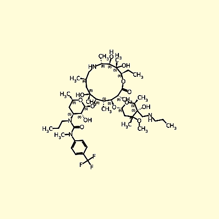 CCCNC[C@]1(O)[C@H](C)O[C@@H](O[C@H]2[C@H](C)[C@@H](O[C@@H]3O[C@H](C)C[C@H](N(CCC)C(=O)N(C)c4ccc(C(F)(F)F)cc4)[C@H]3O)[C@](C)(O)C[C@@H](C)CN[C@H](C)[C@@H](O)[C@](C)(O)[C@@H](CC)OC(=O)[C@@H]2C)C[C@@]1(C)OC